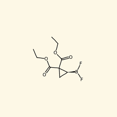 CCOC(=O)C1(C(=O)OCC)C[C@@H]1B(F)F